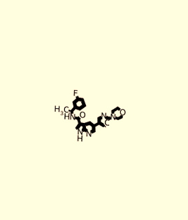 C[C@H](NC(=O)c1c[nH]c2ncc(-c3ccc(N4CCOCC4)nc3)cc12)c1cccc(F)c1